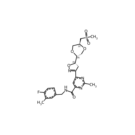 Cc1nc(C(=O)NCc2ccc(F)c(C)c2)cc(C2=NO[C@H]([C@H]3CO[C@H](CS(C)(=O)=O)CO3)C2)n1